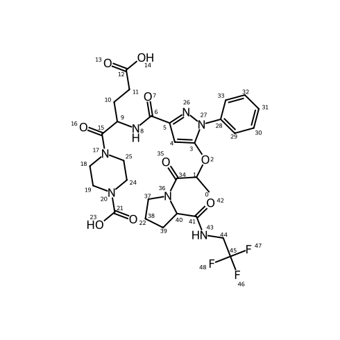 CC(Oc1cc(C(=O)NC(CCC(=O)O)C(=O)N2CCN(C(=O)O)CC2)nn1-c1ccccc1)C(=O)N1CCCC1C(=O)NCC(F)(F)F